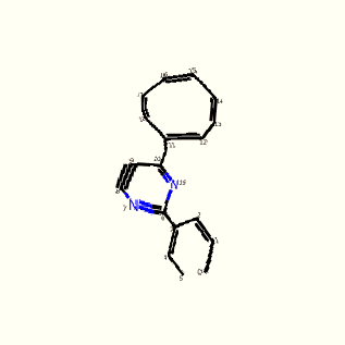 C/C=C\C(=C/C)c1nc#cc(C2=C/C=C\C=C/C=C\2)n1